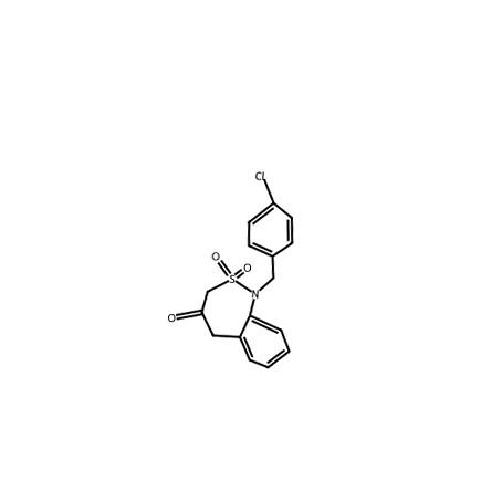 O=C1Cc2ccccc2N(Cc2ccc(Cl)cc2)S(=O)(=O)C1